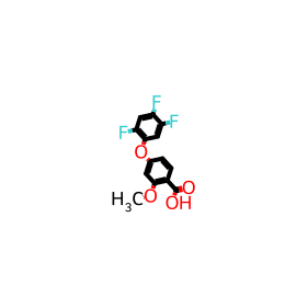 COc1cc(Oc2cc(F)c(F)cc2F)ccc1C(=O)O